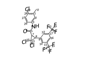 Cc1cc(NC(=O)C2C(c3cc(C(F)(F)F)cc(C(F)(F)F)c3)C2(Cl)Cl)ccc1Cl